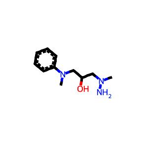 CN(N)CC(O)CN(C)c1ccccc1